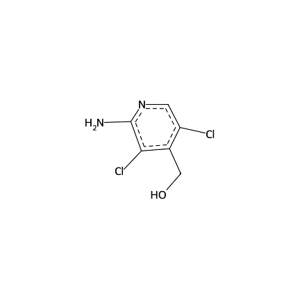 Nc1ncc(Cl)c(CO)c1Cl